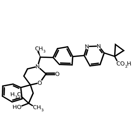 C[C@@H](c1ccc(-c2ccc(C3(C(=O)O)CC3)nn2)cc1)N1CCC(CC(C)(C)O)(c2ccccc2)OC1=O